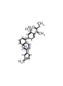 C=C(CC)N(C)C1=CCC(c2ccccc2/C=N\C(=C/C)c2cnn(C)c2)C=C1C